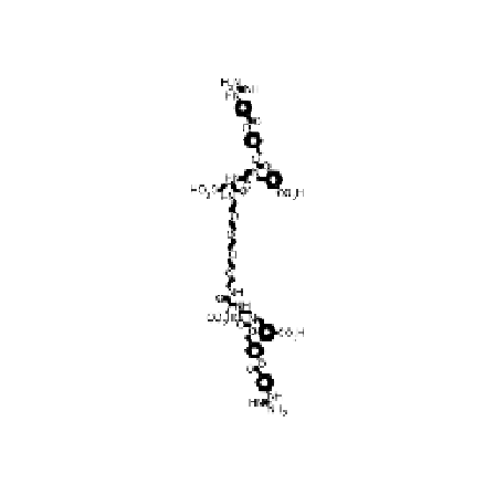 N=C(N)Nc1ccc(C(=O)Oc2ccc(COC(=O)N(CC(=O)N[C@@H](CCC(=O)O)C(=O)NCCOCCOCCOCCOCCNC(=O)[C@H](CC(=O)O)NC(=O)CN(Cc3cccc(C(=O)O)c3)C(=O)OCc3ccc(OC(=O)c4ccc(NC(=N)N)cc4)cc3)Cc3cccc(C(=O)O)c3)cc2)cc1